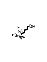 CCCC[Si](C)(C)C(N)CCCCO